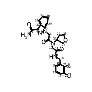 NC(=O)c1nn(CC(=O)N(CC(=O)NCc2cccc(Cl)c2F)C2CCOC2)c2ccccc12